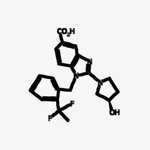 CC(F)(F)c1ccccc1Cn1c(N2CC[C@@H](O)C2)nc2cc(C(=O)O)ccc21